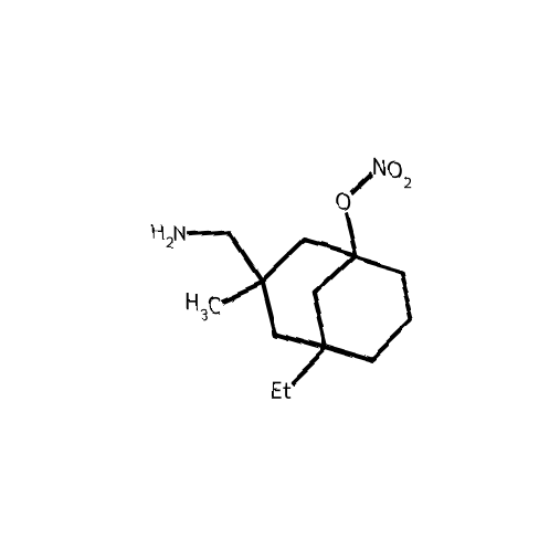 CCC12CCCC(O[N+](=O)[O-])(CC(C)(CN)C1)C2